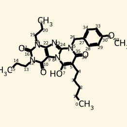 CCCCCc1c(O)n2c3c(=O)n(CCC)c(=O)n(CCC)c3nc2n(Cc2ccc(OC)cc2)c1=O